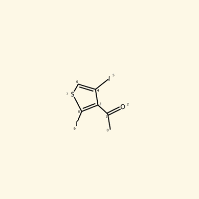 CC(=O)c1c(I)csc1I